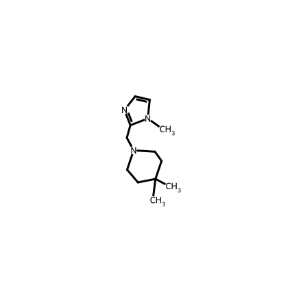 Cn1ccnc1CN1CCC(C)(C)CC1